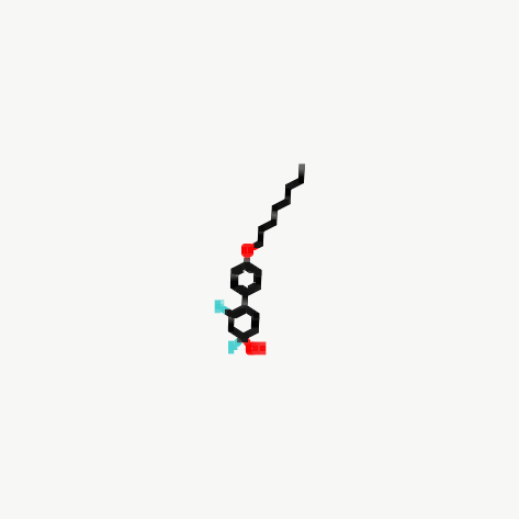 CCCCCCCCOc1ccc(C2=C(F)CC(O)(F)C=C2)cc1